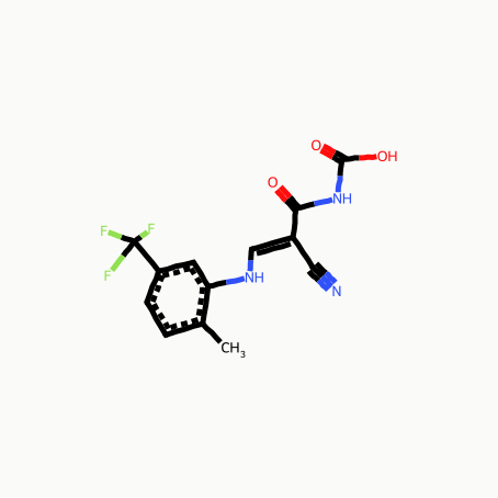 Cc1ccc(C(F)(F)F)cc1N/C=C(\C#N)C(=O)NC(=O)O